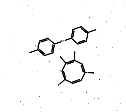 CC1=CC(C)=C(C)C=C(C)C=C1.Cc1cc[c]([Pt][c]2ccc(C)cc2)cc1